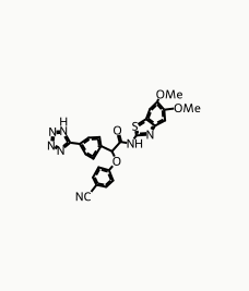 COc1cc2nc(NC(=O)C(Oc3ccc(C#N)cc3)c3ccc(-c4nnn[nH]4)cc3)sc2cc1OC